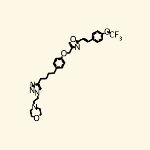 FC(F)(F)Oc1ccc(C=Cc2nc(COc3ccc(CCCCc4cn(CCN5CCOCC5)nn4)cc3)co2)cc1